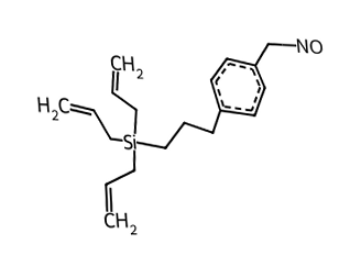 C=CC[Si](CC=C)(CC=C)CCCc1ccc(CN=O)cc1